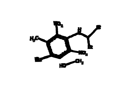 CCC(CC)Nc1c([N+](=O)[O-])cc(C(C)CC)c(C)c1[N+](=O)[O-].CO